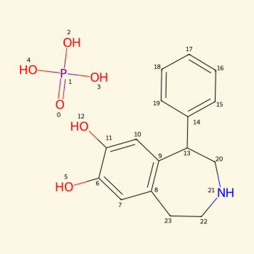 O=P(O)(O)O.Oc1cc2c(cc1O)C(c1ccccc1)CNCC2